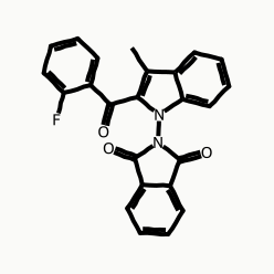 Cc1c(C(=O)c2ccccc2F)n(N2C(=O)c3ccccc3C2=O)c2ccccc12